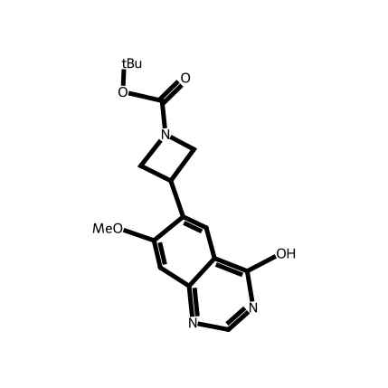 COc1cc2ncnc(O)c2cc1C1CN(C(=O)OC(C)(C)C)C1